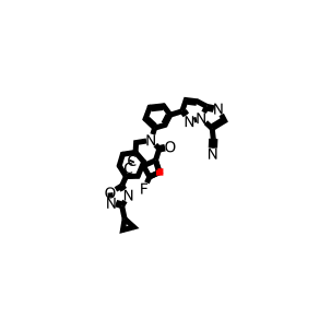 N#Cc1cnc2ccc(-c3cccc(N(CC45CCC(c6nc(C7CC7)no6)(CC4)CC5)C(=O)C45CC(F)(C4)C5)c3)nn12